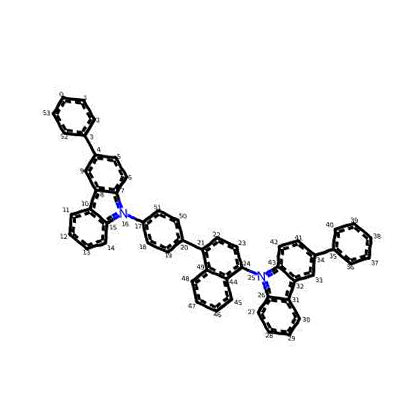 c1ccc(-c2ccc3c(c2)c2ccccc2n3-c2ccc(-c3ccc(-n4c5ccccc5c5cc(-c6ccccc6)ccc54)c4ccccc34)cc2)cc1